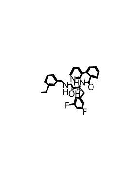 CCc1cccc(CNC[C@H](O)[C@H](Cc2cc(F)cc(F)c2)NC(=O)c2ccccc2-c2cccnc2)c1